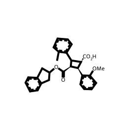 COc1ccccc1[C@@H]1[C@@H](C(=O)O)C(c2ccccc2C)[C@@H]1C(=O)OC1Cc2ccccc2C1